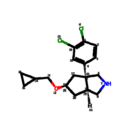 Clc1ccc([C@]23CNC[C@H]2C[C@@H](OCC2CC2)C3)cc1Cl